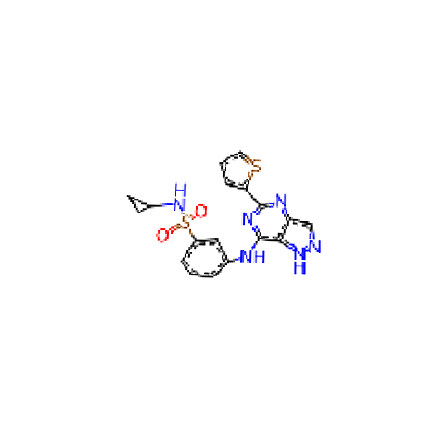 O=S(=O)(NC1CC1)c1cccc(Nc2nc(-c3cccs3)nc3cn[nH]c23)c1